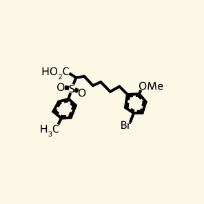 COc1ccc(Br)cc1CCCCCC(C(=O)O)S(=O)(=O)c1ccc(C)cc1